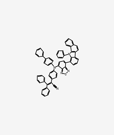 N#CC(=C(c1ccccc1)c1ccccc1)c1ccc(N(c2ccc(-c3ccccc3)cc2)c2ccc(-c3cccc4c5ccc6ccccc6c5n(-c5ccccc5)c34)c3nsnc23)cc1